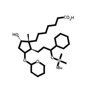 CC(C)(C)[Si](C)(C)OC(CC[C@H]1C(OC2CCCCO2)C[C@H](O)[C@]1(C)CCCCCCC(=O)O)C1CCCCC1